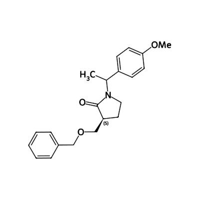 COc1ccc(C(C)N2CC[C@@H](COCc3ccccc3)C2=O)cc1